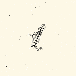 CC(C)[O][Al+][C](=O)C(F)(F)C(F)(F)C(F)(F)C(F)(F)C(F)(F)C(F)(F)C(F)(F)C(F)(F)C(F)(F)F.CCC(C(C)=O)C(=O)[O-]